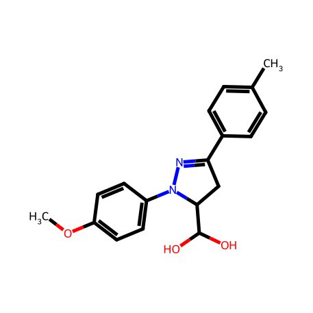 COc1ccc(N2N=C(c3ccc(C)cc3)CC2C(O)O)cc1